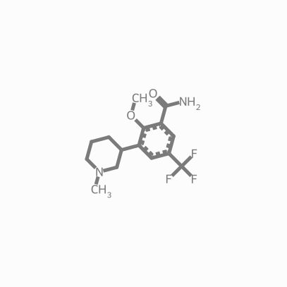 COc1c(C(N)=O)cc(C(F)(F)F)cc1C1CCCN(C)C1